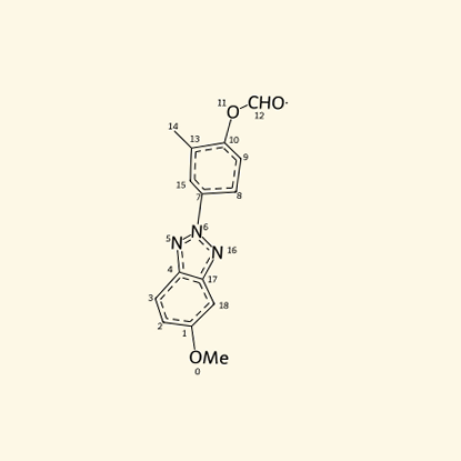 COc1ccc2nn(-c3ccc(O[C]=O)c(C)c3)nc2c1